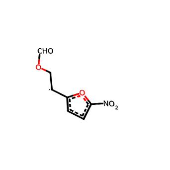 O=COC[CH]c1ccc([N+](=O)[O-])o1